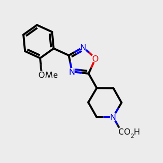 COc1ccccc1-c1noc(C2CCN(C(=O)O)CC2)n1